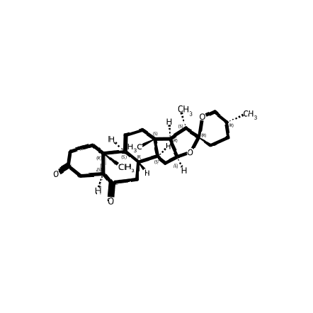 C[C@@H]1CC[C@@]2(OC1)O[C@H]1C[C@H]3[C@@H]4CC(=O)[C@H]5CC(=O)CC[C@]5(C)[C@H]4CC[C@]3(C)[C@H]1[C@@H]2C